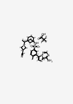 Cc1ccc(S(=O)(=O)NC23CCCC(C(C)N4CC(C#N)C4)(C2)C3)cc1-c1cnc2c(N)ncnn12.O=C(O)C(F)(F)F